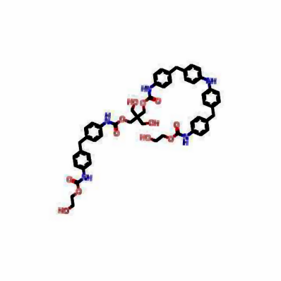 O=C(Nc1ccc(Cc2ccc(NC(=O)OCC(CO)(CO)COC(=O)Nc3ccc(Cc4ccc(Nc5ccc(Cc6ccc(NC(=O)OCCO)cc6)cc5)cc4)cc3)cc2)cc1)OCCO